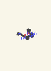 O=C(CCCCN1CCCC1)Nc1cccc(Nc2ncnc3[nH]cc(C(=O)c4ccccc4)c23)c1